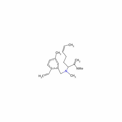 C=Cc1ccc(C)cc1CN(C)C(CC/C=C\C)C(=C)NC